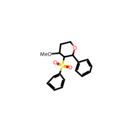 COC1CCOC(c2ccccc2)C1S(=O)(=O)c1ccccc1